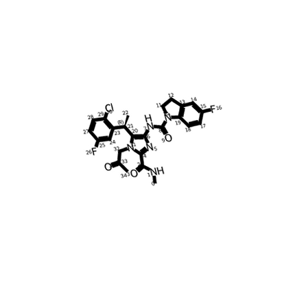 CNC(=O)c1nc(NC(=O)N2CCc3cc(F)ccc32)c([C@H](C)c2cc(F)ccc2Cl)n1CC(C)=O